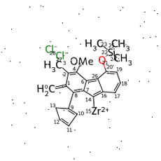 C=c1c(C)c(OC)c2c(c1C1=CC=CC1)[C]([Zr+2])=c1cccc(O[Si](C)(C)C)c1=2.[Cl-].[Cl-]